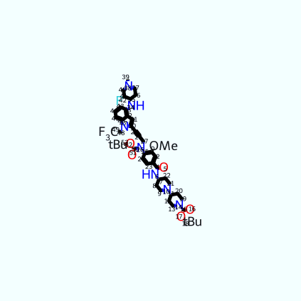 COc1cc(C(=O)NC2CCN(C3CCN(C(=O)OC(C)(C)C)CC3)CC2)ccc1N(CC#Cc1cc2c(N[C@@H]3CCN(C)C[C@@H]3F)cccc2n1CC(F)(F)F)C(=O)OC(C)(C)C